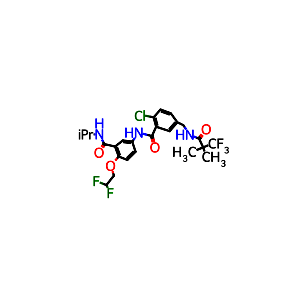 CC(C)NC(=O)c1cc(NC(=O)c2cc(CNC(=O)C(C)(C)C(F)(F)F)ccc2Cl)ccc1OCC(F)F